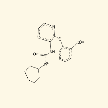 CC(C)(C)c1ccccc1Oc1ncccc1NC(=O)NC1CCCCC1